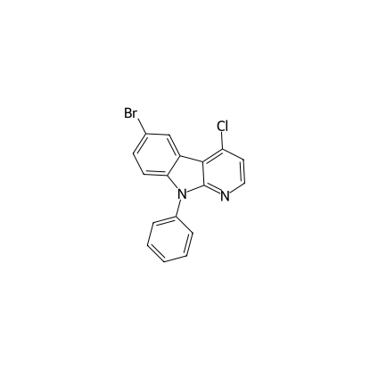 Clc1ccnc2c1c1cc(Br)ccc1n2-c1ccccc1